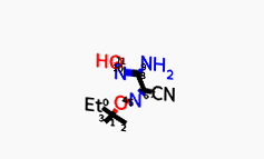 CCC(C)(C)ON=C(C#N)C(N)=NO